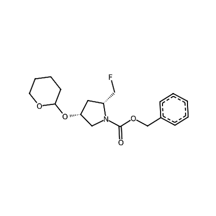 O=C(OCc1ccccc1)N1C[C@H](OC2CCCCO2)C[C@@H]1CF